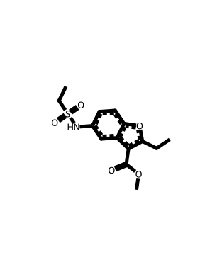 CCc1oc2ccc(NS(=O)(=O)CC)cc2c1C(=O)OC